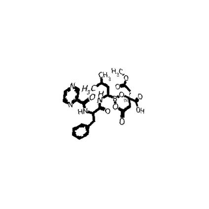 COC(=O)C[C@]1(C(=O)O)CC(=O)OB(C(CC(C)C)NC(=O)C(Cc2ccccc2)NC(=O)c2cnccn2)O1